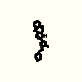 Cc1cc(C(=O)N[C@H]2COc3ccccc3N(C)C2=O)nn1CCc1ccccc1